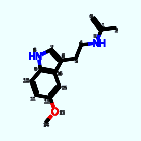 C=C(C)NCCc1c[nH]c2ccc(OC)cc12